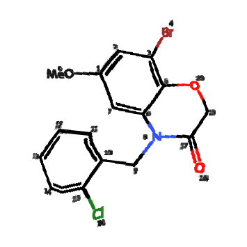 COc1cc(Br)c2c(c1)N(Cc1ccccc1Cl)C(=O)CO2